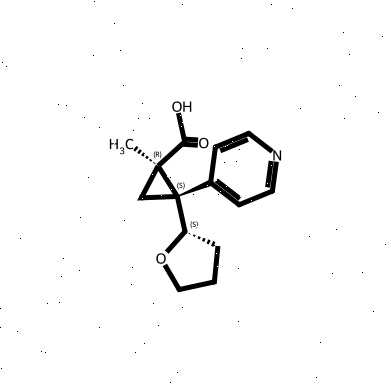 C[C@@]1(C(=O)O)C[C@@]1(c1ccncc1)[C@@H]1CCCO1